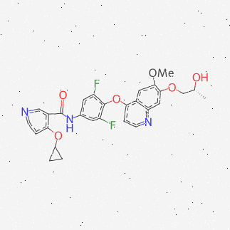 COc1cc2c(Oc3c(F)cc(NC(=O)c4cnccc4OC4CC4)cc3F)ccnc2cc1OC[C@@H](C)O